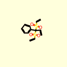 C=CC(c1ccccc1)(S(=O)(=O)C=C)S(=O)(=O)C=C